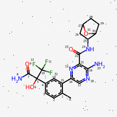 Cc1ccc(C(O)(C(N)=O)C(F)(F)F)cc1-c1cnc(N)c(C(=O)NC2CC3CCC2O3)n1